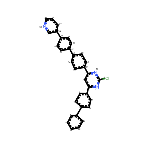 Clc1nc(-c2ccc(-c3ccccc3)cc2)cc(-c2ccc(-c3ccc(-c4cccnc4)cc3)cc2)n1